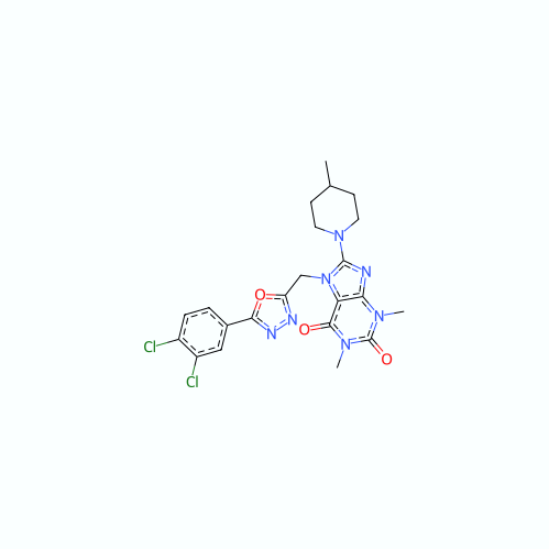 CC1CCN(c2nc3c(c(=O)n(C)c(=O)n3C)n2Cc2nnc(-c3ccc(Cl)c(Cl)c3)o2)CC1